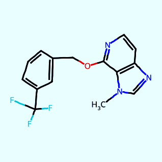 Cn1cnc2ccnc(OCc3cccc(C(F)(F)F)c3)c21